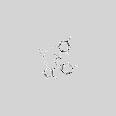 CC1=[C]([Ti+2]2([NH]S(=O)(=O)c3c(C)cc(C)cc3C)[c]3ccc(C)c[c]32)C(C)C=C1.C[N-]C.C[N-]C